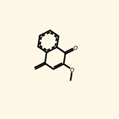 C=C1C=C(OC)C(=O)c2ccccc21